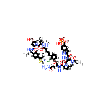 CC(=O)N1CC[C@H]2CC[C@@H](C(=O)N[C@H](CCC(N)=O)COc3cccc(CCCCC(=O)N[C@H](C(=O)N4C[C@H](O)C[C@H]4C(=O)N[C@@H](C)c4ccc(-c5scnc5C)cc4)C(C)(C)C)c3Cl)N2C(=O)[C@@H](NC(=O)c2cc3cc(C(=O)P(=O)(O)O)ccc3[nH]2)C1